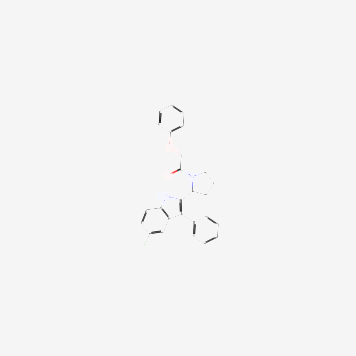 O=C(COc1ccccc1)N1CCCC1c1[nH]c2ccc(Cl)cc2c1-c1ccccc1